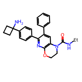 CCNC(=O)N1CCOc2nc(-c3ccc(C4(N)CCC4)cc3)c(-c3ccccc3)cc21